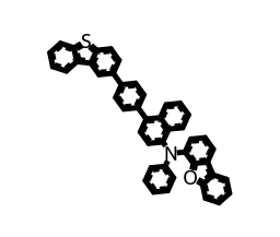 c1ccc(N(c2ccc(-c3ccc(-c4ccc5sc6ccccc6c5c4)cc3)c3ccccc23)c2cccc3c2oc2ccccc23)cc1